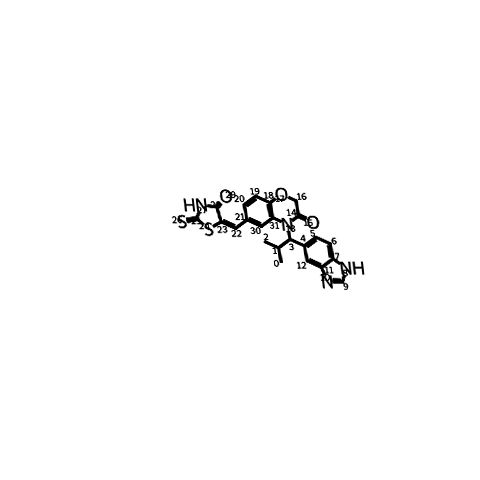 CC(C)C(c1ccc2[nH]cnc2c1)N1C(=O)COc2ccc(C=C3SC(=S)NC3=O)cc21